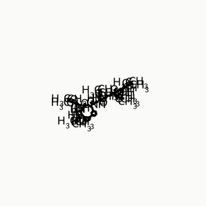 CC(C)(C)OC(=O)NCC(O)CNC(=O)[C@H](CCCCNC(=O)[C@H](CCNC(=O)[C@H]1CC(=O)[C@H](C[C@@H](O)CNC(=O)OC(C)(C)C)NC(=O)[C@@H](NC(=O)OC(C)(C)C)Cc2cc(ccc2O)-c2cccc(c2)C1)NC(=O)OC(C)(C)C)NC(=O)OC(C)(C)C